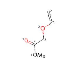 C=COCC(=O)OC